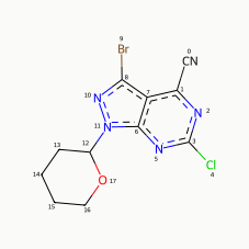 N#Cc1nc(Cl)nc2c1c(Br)nn2C1CCCCO1